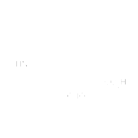 C1CCNCC1.O=Cc1ccccc1C(=O)O